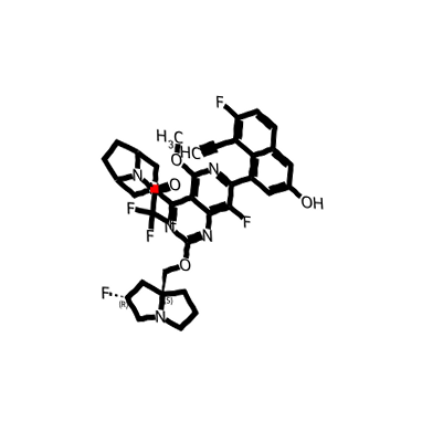 C#Cc1c(F)ccc2cc(O)cc(-c3nc(OC)c4c(N5CC6CCC(C5)N6C(=O)C(F)(F)F)nc(OC[C@@]56CCCN5C[C@H](F)C6)nc4c3F)c12